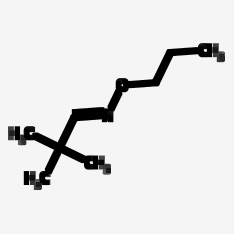 CCCO/N=C/C(C)(C)C